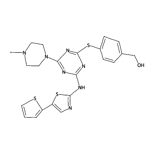 CN1CCN(c2nc(Nc3ncc(-c4cccs4)s3)nc(Sc3ccc(CO)cc3)n2)CC1